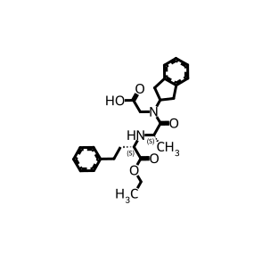 CCOC(=O)[C@H](CCc1ccccc1)N[C@@H](C)C(=O)N(CC(=O)O)C1Cc2ccccc2C1